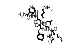 CSCC[C@H](NC=O)C(=O)N[C@@H](CC(C)C)C(=O)N[C@@H](Cc1ccccc1)C(=O)N[C@@H](CCCCN)C(=O)NNc1ccncc1C(N)=O